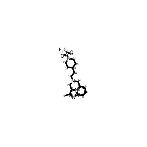 Cc1nc2cccc3n2c1CN(CCC1CCN(S(=O)(=O)C(F)(F)F)CC1)C3